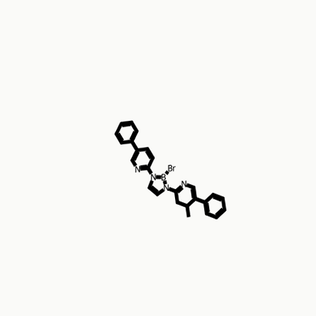 CC1CC(N2C=CN(c3ccc(-c4ccccc4)cn3)B2Br)=NC=C1c1ccccc1